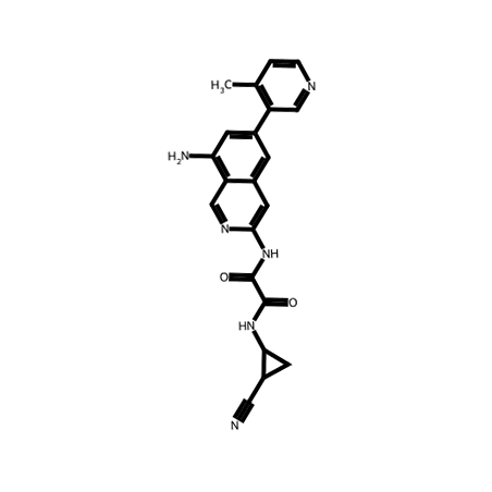 Cc1ccncc1-c1cc(N)c2cnc(NC(=O)C(=O)NC3CC3C#N)cc2c1